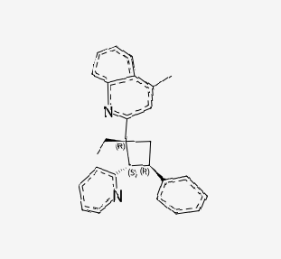 CC[C@@]1(c2cc(C)c3ccccc3n2)C[C@@H](c2ccccc2)[C@@H]1c1ccccn1